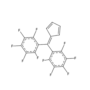 Fc1c(F)c(F)c(C(=C2C=CC=C2)c2c(F)c(F)c(F)c(F)c2F)c(F)c1F